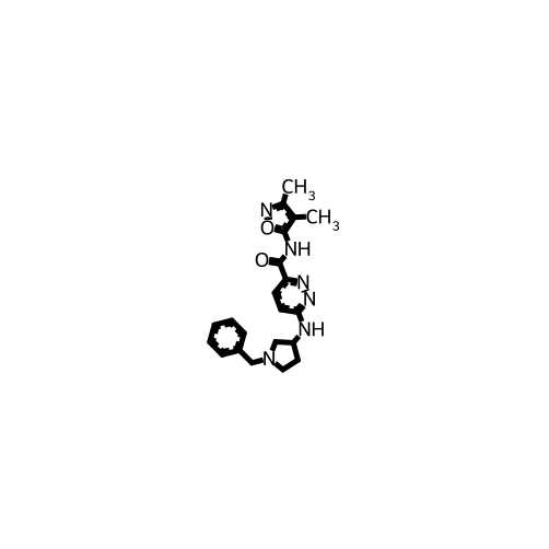 Cc1noc(NC(=O)c2ccc(NC3CCN(Cc4ccccc4)C3)nn2)c1C